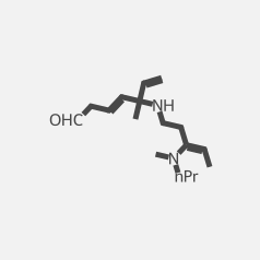 C=CC(C)(C=CCC=O)NCCC(=CC)N(C)CCC